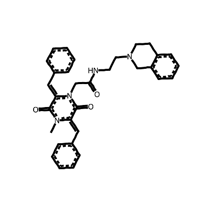 Cn1c(=O)/c(=C/c2ccccc2)n(CC(=O)NCCN2CCc3ccccc3C2)c(=O)/c1=C/c1ccccc1